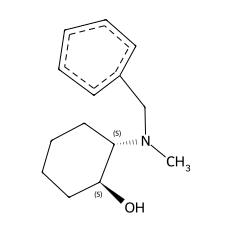 CN(Cc1ccccc1)[C@H]1CCCC[C@@H]1O